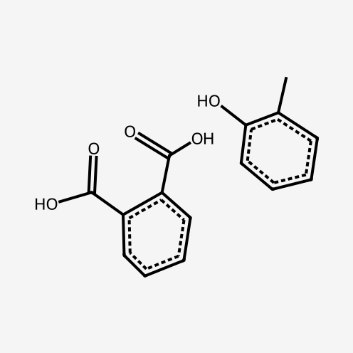 Cc1ccccc1O.O=C(O)c1ccccc1C(=O)O